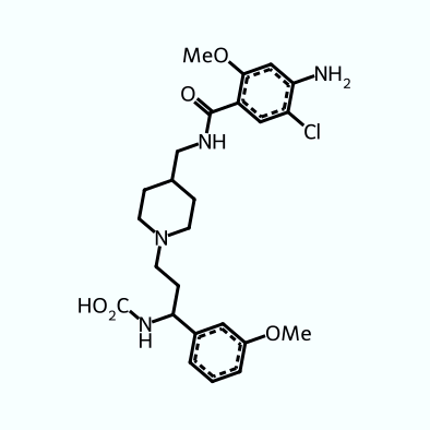 COc1cccc(C(CCN2CCC(CNC(=O)c3cc(Cl)c(N)cc3OC)CC2)NC(=O)O)c1